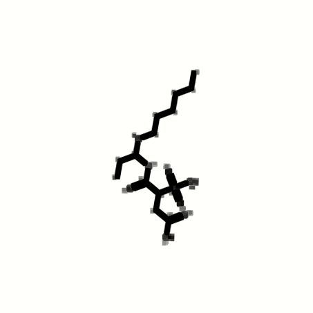 CCCCCCOC(CC)OC(=O)C(CC(=O)O)S(=O)(=O)O